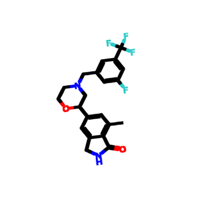 Cc1cc(C2CN(Cc3cc(F)cc(C(F)(F)F)c3)CCO2)cc2c1C(=O)NC2